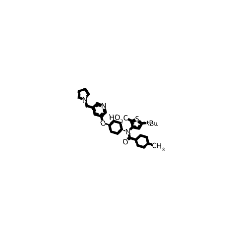 CC1CCC(C(=O)N(c2cc(C(C)(C)C)sc2C(=O)O)[C@H]2CC[C@H](Oc3cncc(CN4CCCC4)c3)CC2)CC1